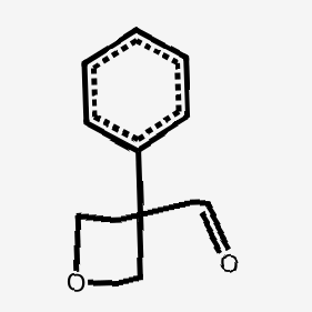 O=CC1(c2ccccc2)COC1